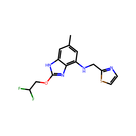 Cc1cc(NCc2nccs2)c2nc(OCC(F)F)[nH]c2c1